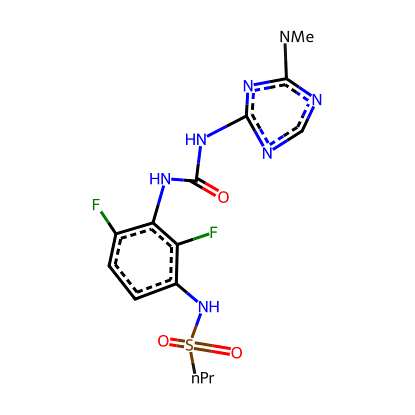 CCCS(=O)(=O)Nc1ccc(F)c(NC(=O)Nc2ncnc(NC)n2)c1F